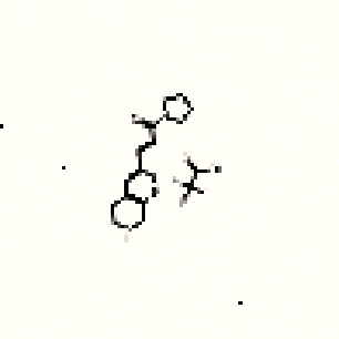 O=C(C=Cc1ccc2c(c1)CCNC2)N1CCCC1.O=C(O)C(F)(F)F